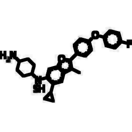 Cc1c(-c2ccc(Oc3ccc(F)cc3)cc2)oc2cc(N(S)C3CCC(N)CC3)c(C3CC3)cc12